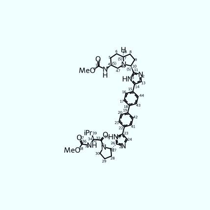 COC(=O)N[C@H]1CC[C@H]2CC[C@@H](c3ncc(-c4ccc(-c5ccc(-c6cnc([C@@H]7CCCN7C(=O)[C@@H](NC(=O)OC)C(C)C)[nH]6)cc5)cc4)[nH]3)N2C1